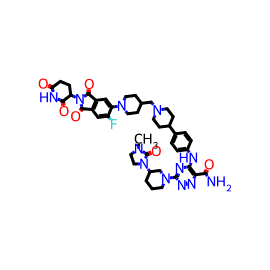 CN1CCN(C2CCCN(c3nnc(C(N)=O)c(Nc4ccc(C5CCN(CC6CCN(c7cc8c(cc7F)C(=O)N(C7CCC(=O)NC7=O)C8=O)CC6)CC5)cc4)n3)C2)C1=O